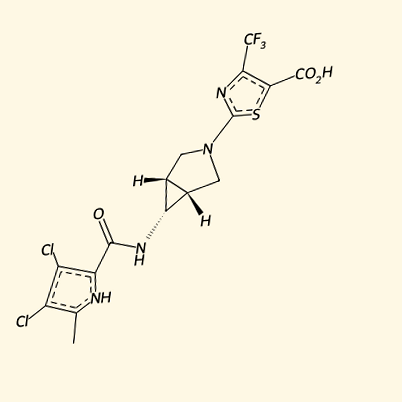 Cc1[nH]c(C(=O)N[C@@H]2[C@@H]3CN(c4nc(C(F)(F)F)c(C(=O)O)s4)C[C@@H]32)c(Cl)c1Cl